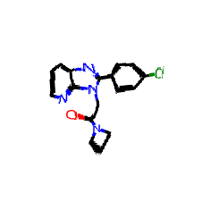 O=C(Cn1c(-c2ccc(Cl)cc2)nc2cccnc21)N1CCC1